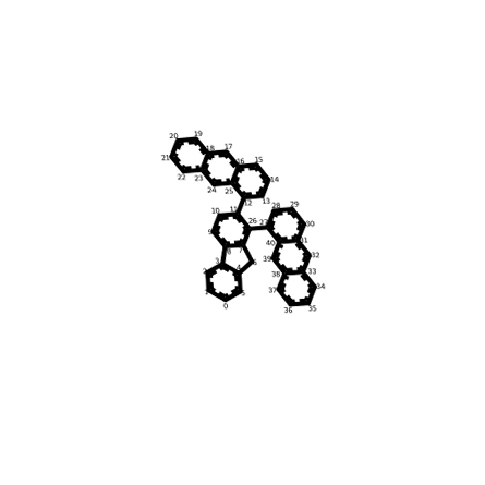 c1ccc2c(c1)Cc1c-2ccc(-c2cccc3cc4ccccc4cc23)c1-c1cccc2cc3ccccc3cc12